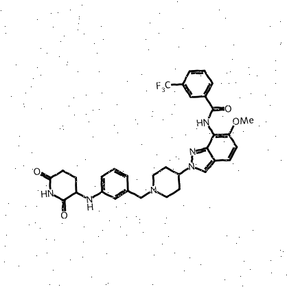 COc1ccc2cn(C3CCN(Cc4cccc(NC5CCC(=O)NC5=O)c4)CC3)nc2c1NC(=O)c1cccc(C(F)(F)F)c1